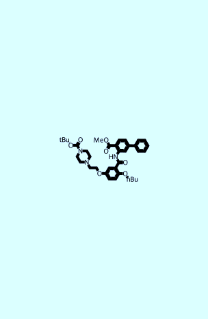 CCCCOc1ccc(OCCN2CCN(C(=O)OC(C)(C)C)CC2)cc1C(=O)Nc1cc(-c2ccccc2)ccc1C(=O)OC